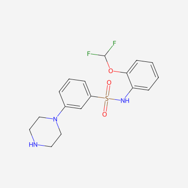 O=S(=O)(Nc1ccccc1OC(F)F)c1cccc(N2CCNCC2)c1